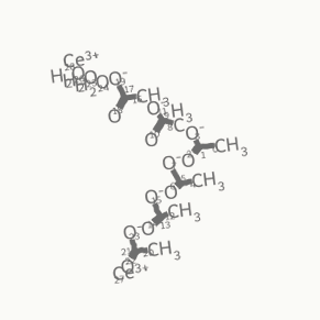 CC(=O)[O-].CC(=O)[O-].CC(=O)[O-].CC(=O)[O-].CC(=O)[O-].CC(=O)[O-].O.O.O.[Ce+3].[Ce+3]